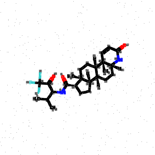 CC(C)C(NC(=O)[C@H]1CC[C@H]2[C@@H]3CC[C@H]4NC(=O)C=C[C@]4(C)[C@H]3CC[C@]12C)C(=O)C(F)(F)F